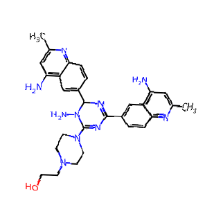 Cc1cc(N)c2cc(C3=NC(c4ccc5nc(C)cc(N)c5c4)N(N)C(N4CCN(CCO)CC4)=N3)ccc2n1